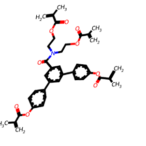 C=C(C)C(=O)OCCN(CCOC(=O)C(=C)C)C(=O)c1cc(-c2ccc(OC(=O)C(=C)C)cc2)cc(-c2ccc(OC(=O)C(=C)C)cc2)c1